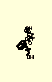 CC(C)(CCO)CC12CC3CC(C1)CC(OC(=O)C(F)(F)SOOO)(C3)C2